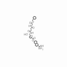 Cl.N=C(N)c1ccc2cc(OC(=O)c3ccc(CNC(=O)CCC(=O)NCC(=O)OCc4ccccc4)o3)ccc2c1